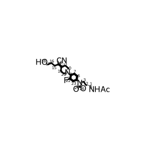 CC(=O)NC[C@H]1CN(c2ccc(N3CCC(=C(C#N)CCCO)CC3)c(F)c2)C(=O)O1